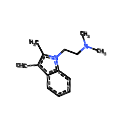 Cc1c(C=O)c2ccccc2n1CCN(C)C